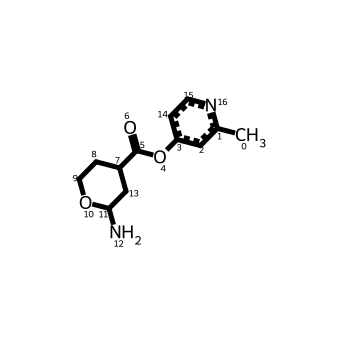 Cc1cc(OC(=O)C2CCOC(N)C2)ccn1